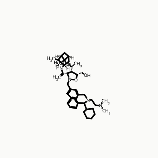 C=C(N[C@H]1C[C@H]2C[C@@H]([C@@H]1C)C2(C)C)[C@@H]1[C@H]([C@H](C)O)[C@H](CO)ON1Cc1cccc(CN(CCN(C)C)C(c2ccccc2)C2CCCCC2)c1